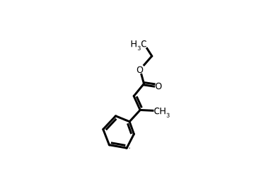 CCOC(=O)C=C(C)c1c[c]ccc1